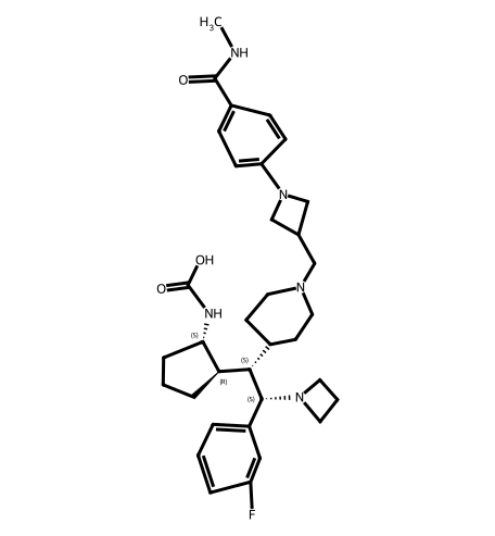 CNC(=O)c1ccc(N2CC(CN3CCC([C@@H]([C@H]4CCC[C@@H]4NC(=O)O)[C@@H](c4cccc(F)c4)N4CCC4)CC3)C2)cc1